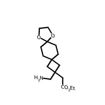 CCOC(=O)CC1(CN)CC2(CCC3(CC2)OCCO3)C1